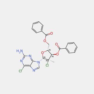 C[C@@]1(Cl)[C@H](OC(=O)c2ccccc2)[C@@H](COC(=O)c2ccccc2)O[C@H]1n1cnc2c(Cl)nc(N)nc21